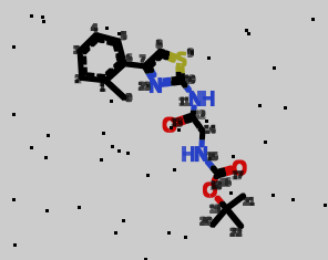 Cc1ccccc1-c1csc(NC(=O)CNC(=O)OC(C)(C)C)n1